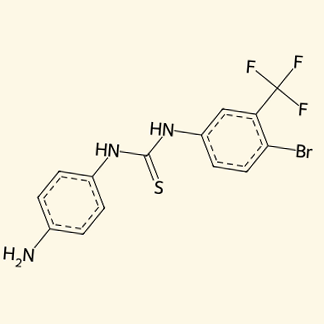 Nc1ccc(NC(=S)Nc2ccc(Br)c(C(F)(F)F)c2)cc1